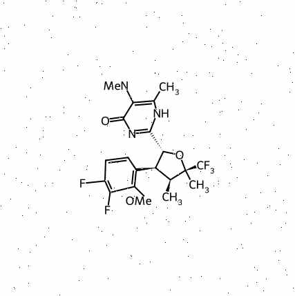 CNc1c(C)[nH]c([C@@H]2O[C@@](C)(C(F)(F)F)[C@@H](C)[C@H]2c2ccc(F)c(F)c2OC)nc1=O